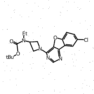 CCN(C(=O)OC(C)(C)C)C1CN(c2ncnc3c2oc2ccc(Cl)cc23)C1